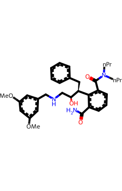 CCCN(CCC)C(=O)c1cccc(C(N)=O)c1[C@H](Cc1ccccc1)[C@@H](O)CNCc1cc(OC)cc(OC)c1